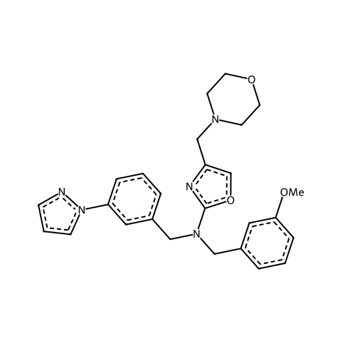 COc1cccc(CN(Cc2cccc(-n3cccn3)c2)c2nc(CN3CCOCC3)co2)c1